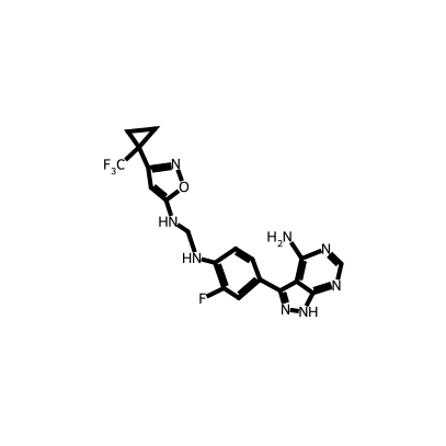 Nc1ncnc2[nH]nc(-c3ccc(NCNc4cc(C5(C(F)(F)F)CC5)no4)c(F)c3)c12